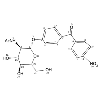 CC(=O)N[C@H]1[C@H](Oc2ccc(C(=O)c3ccc([N+](=O)[O-])cc3)cc2)O[C@H](CO)[C@@H](O)[C@@H]1O